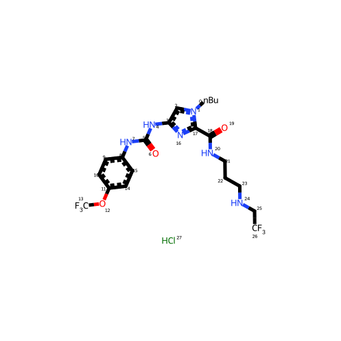 CCCCn1cc(NC(=O)Nc2ccc(OC(F)(F)F)cc2)nc1C(=O)NCCCNCC(F)(F)F.Cl